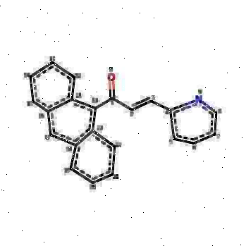 O=C(C=Cc1ccccn1)c1c2ccccc2cc2ccccc12